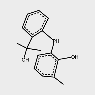 Cc1cccc(Pc2ccccc2C(C)(C)O)c1O